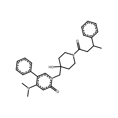 CC(CC(=O)N1CCC(O)(Cn2cc(-c3ccccc3)c(N(C)C)cc2=O)CC1)c1ccccc1